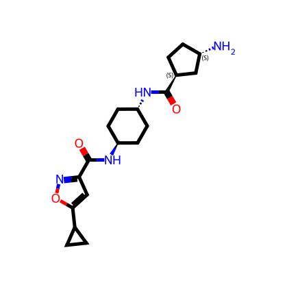 N[C@H]1CC[C@H](C(=O)N[C@H]2CC[C@H](NC(=O)c3cc(C4CC4)on3)CC2)C1